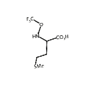 CSCCC(NOC(F)(F)F)C(=O)O